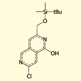 CC(C)(C)[Si](C)(C)OCc1cc2cnc(Cl)cc2c(O)n1